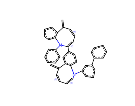 C=C1/C=C\C=C/N(c2cccc(-c3ccccc3)c2)c2ccc(/C3=C/C=C\C(=C)c4ccccc4N3c3ccccc3)cc21